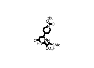 CSc1nn2c(C3CCN(C(=O)OC(C)(C)C)CC3)cc(=O)[nH]c2c1C(=O)O